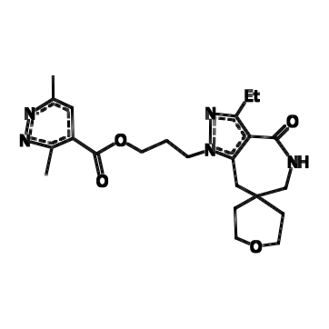 CCc1nn(CCCOC(=O)c2cc(C)nnc2C)c2c1C(=O)NCC1(CCOCC1)C2